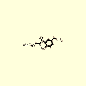 C=Cc1ccc(C(C)=O)c(N(CC)CCOOC)c1